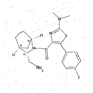 CN(C)c1nc(C(=O)N2[C@@H]3CC[C@@H](C3)[C@H]2CN)c(-c2ccc(F)cc2)s1